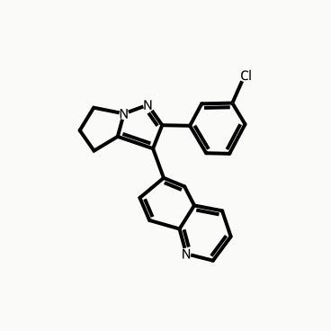 Clc1cccc(-c2nn3c(c2-c2ccc4ncccc4c2)CCC3)c1